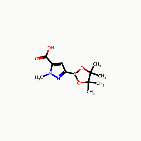 Cn1nc(B2OC(C)(C)C(C)(C)O2)cc1C(=O)O